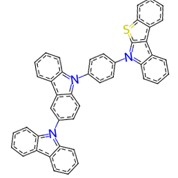 c1ccc2c(c1)sc1c2c2ccccc2n1-c1ccc(-n2c3ccccc3c3cc(-n4c5ccccc5c5ccccc54)ccc32)cc1